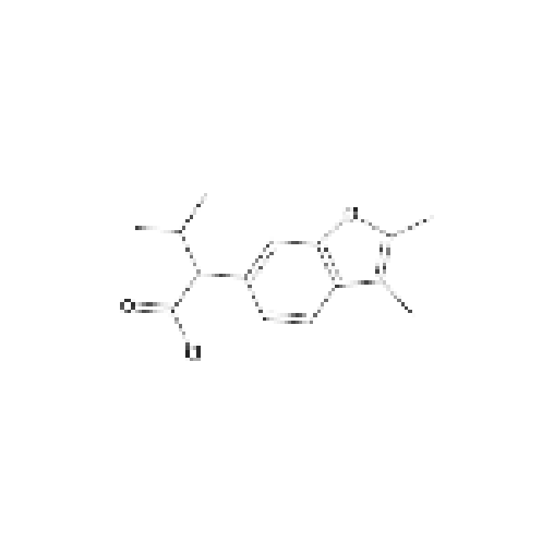 Cc1oc2cc(C(C(=O)Cl)C(C)C)ccc2c1C